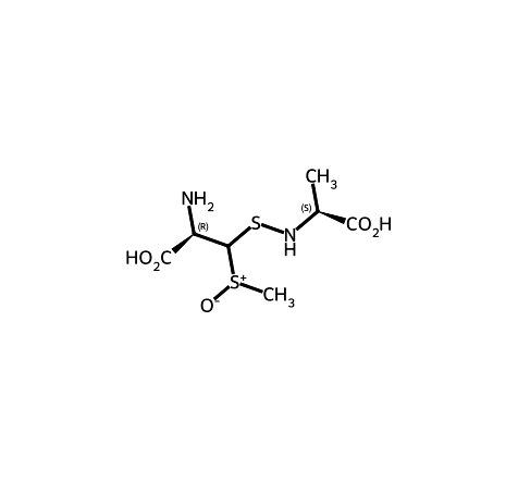 C[C@H](NSC([C@H](N)C(=O)O)[S+](C)[O-])C(=O)O